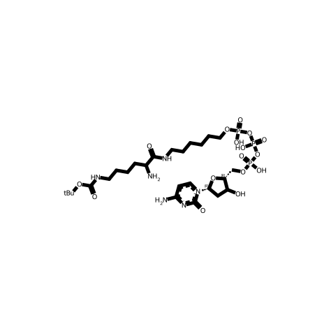 CC(C)(C)OC(=O)NCCCCC(N)C(=O)NCCCCCCOP(=O)(O)OP(=O)(O)OP(=O)(O)OC[C@H]1O[C@@H](n2ccc(N)nc2=O)CC1O